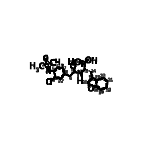 CS(C)(=O)=Nc1ccc(CC(=O)N[C@@H](Cc2coc3ccccc23)B(O)O)cc1Cl